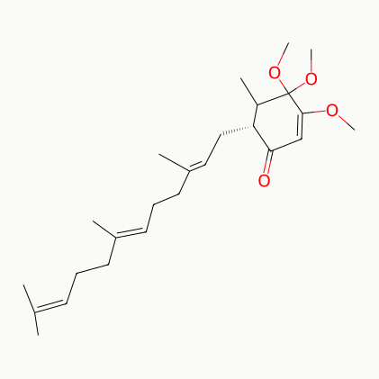 COC1=CC(=O)[C@H](C/C=C(\C)CC/C=C(\C)CCC=C(C)C)C(C)C1(OC)OC